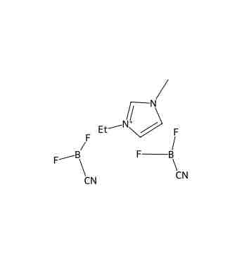 CC[n+]1ccn(C)c1.N#CB(F)F.N#CB(F)F